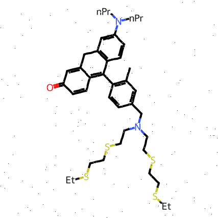 CCCN(CCC)c1ccc2c(c1)CC1=CC(=O)C=CC1=C2c1ccc(CN(CCSCCSCC)CCSCCSCC)cc1C